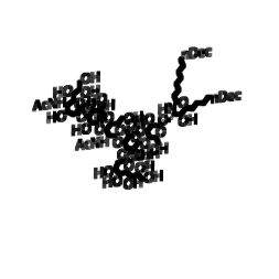 CCCCCCCCCCCCC/C=C/[C@@H](O)[C@H](CO[C@@H]1OC(CO)[C@@H](O[C@@H]2OC(CO)[C@H](O[C@@H]3OC(CO)[C@H](O)[C@H](O[C@@H]4OC(CO)[C@H](O)[C@H](O[C@]5(C(=O)O)CC(O)[C@@H](NC(C)=O)C([C@H](O)[C@H](O)CO)O5)C4O)C3NC(C)=O)[C@H](O[C@]3(C(=O)O)CC(O)[C@@H](O)C([C@H](O)[C@H](O)CO)O3)C2O)[C@H](O)C1O)NC(=O)CCCCCCCCCCCCCCCCC